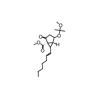 CCCCCC=CC1[C@H]2C(OC(C)(C)OC)CC(=O)[C@]12C(=O)OC